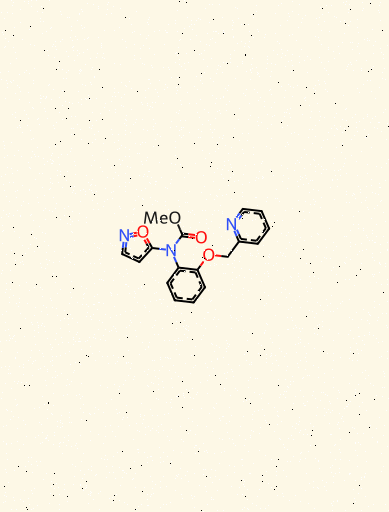 COC(=O)N(c1ccno1)c1ccccc1OCc1ccccn1